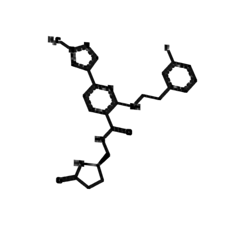 Cn1cc(-c2ccc(C(=O)NC[C@H]3CCC(=O)N3)c(NCCc3cccc(F)c3)n2)cn1